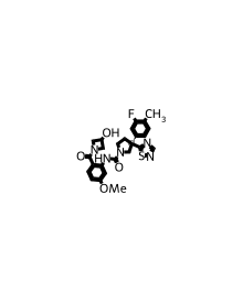 COc1ccc(C(=O)N2CC(O)C2)c(NC(=O)N2CC[C@@](c3ccc(C)c(F)c3)(c3ncns3)C2)c1